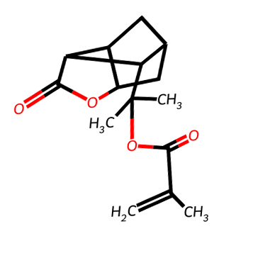 C=C(C)C(=O)OC(C)(C)C1C2CC3OC(=O)C1C3C2